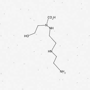 NCCNCCNN(CCO)C(=O)O